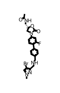 CC(=O)NC[C@H]1CN(c2ccc(-c3ccc(CNCc4nn(C)cc4Br)cc3)c(F)c2)C(=O)O1